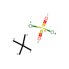 CC(C)(C)C.O=S(=O)(Cl)Cl